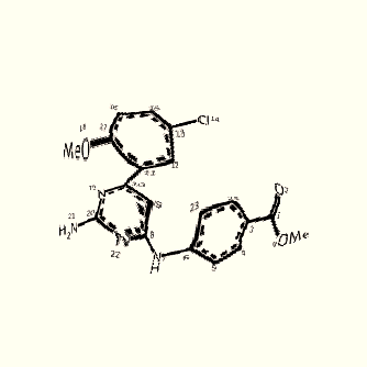 COC(=O)c1ccc(Nc2cc(-c3cc(Cl)ccc3OC)nc(N)n2)cc1